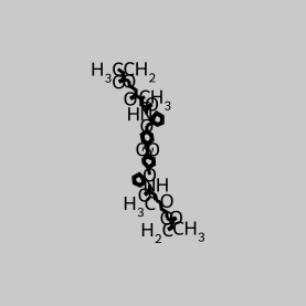 C=C(C)C(=O)OCCC(=O)/C(C)=C/C(=O)Nc1ccccc1Oc1ccc(S(=O)(=O)c2ccc(Oc3ccccc3NC(=O)/C=C(\C)C(=O)CCOC(=O)C(=C)C)cc2)cc1